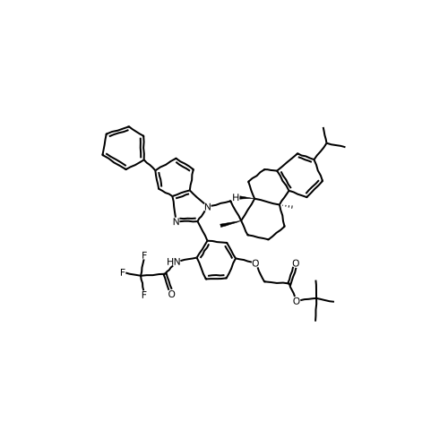 CC(C)c1ccc2c(c1)CC[C@H]1[C@@](C)(Cn3c(-c4cc(OCC(=O)OC(C)(C)C)ccc4NC(=O)C(F)(F)F)nc4cc(-c5ccccc5)ccc43)CCC[C@]21C